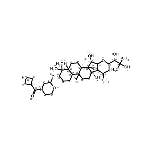 C[C@@H]1CC([C@H](O)C(C)(C)O)OC2C1[C@@]1(C)CCC34C[C@@]35CC[C@H](OC3CN(C(=O)C6CNC6)CCO3)C(C)(C)[C@@H]5CC[C@H]4[C@]1(C)[C@H]2O